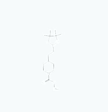 CC(C)(C)OC(=O)N1CCC(CCB2OC(C)(C)C(C)(C)O2)CC1